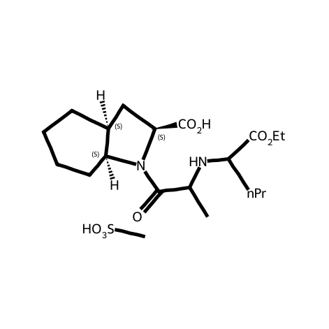 CCCC(NC(C)C(=O)N1[C@H](C(=O)O)C[C@@H]2CCCC[C@@H]21)C(=O)OCC.CS(=O)(=O)O